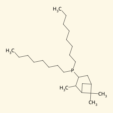 CCCCCCCCP(CCCCCCCC)C1CC2CC(C1C)C2(C)C